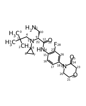 CC(C)(C)CN(C1CC1)[C@@H](CN)C(=O)Nc1ccc(N2CCOCC2=O)cc1F